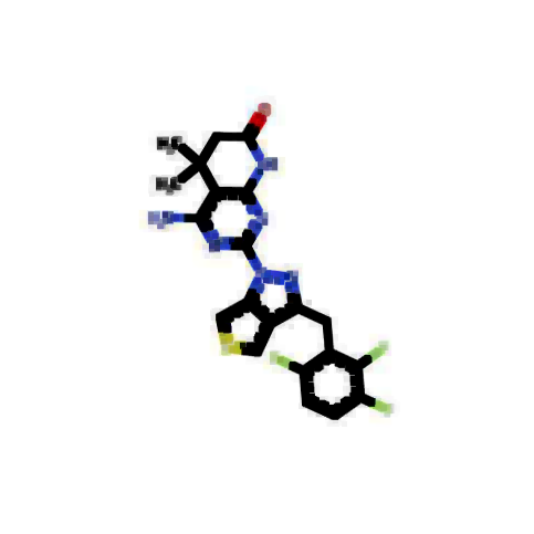 CC1(C)CC(=O)Nc2nc(-n3nc(Cc4c(F)ccc(F)c4F)c4cscc43)nc(N)c21